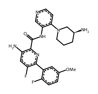 COc1ccc(F)c(-c2nc(C(=O)Nc3cnccc3N3CCC[C@H](N)C3)c(N)cc2F)c1